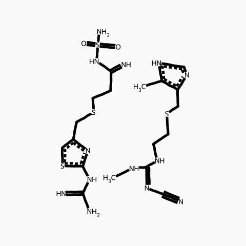 CN/C(=N/C#N)NCCSCc1nc[nH]c1C.N=C(N)Nc1nc(CSCCC(=N)NS(N)(=O)=O)cs1